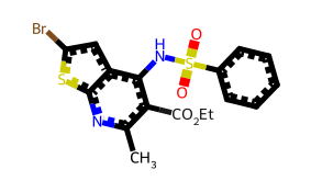 CCOC(=O)c1c(C)nc2sc(Br)cc2c1NS(=O)(=O)c1ccccc1